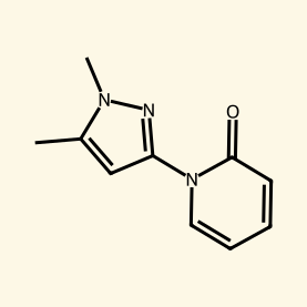 Cc1cc(-n2ccccc2=O)nn1C